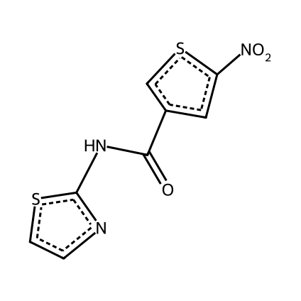 O=C(Nc1nccs1)c1csc([N+](=O)[O-])c1